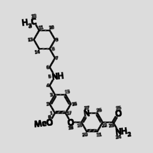 COc1cc(CNCCC2CCC(C)CC2)ccc1Oc1ccc(C(N)=O)cn1